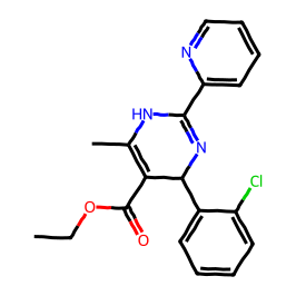 CCOC(=O)C1=C(C)NC(c2ccccn2)=NC1c1ccccc1Cl